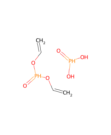 C=CO[PH](=O)OC=C.O=[PH](O)O